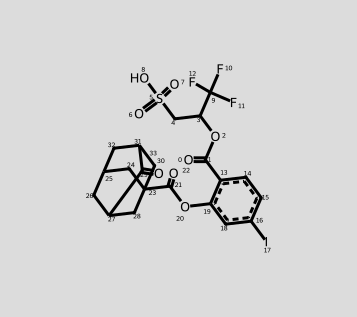 O=C(OC(CS(=O)(=O)O)C(F)(F)F)c1ccc(I)cc1OC(=O)C12CC3CC(C1)C(=O)C(C3)C2